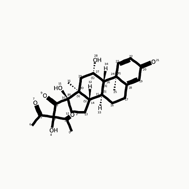 CC(=O)C(O)(C(C)=O)C(=O)[C@@]1(O)CC[C@H]2[C@@H]3CCC4=CC(=O)C=C[C@]4(C)[C@H]3[C@@H](O)C[C@@]21C